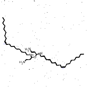 CCCCCCCC/C=C\CCCCCCCCNC(CCN)OC(CCN)NCCCCCCCC/C=C\CCCCCCCC